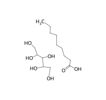 CCCCCCCCC(=O)O.OCC(O)C(O)C(O)CO